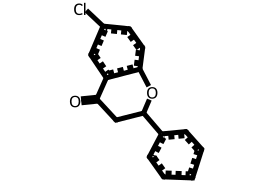 O=C1CC(c2ccccc2)Oc2ccc(Cl)cc21